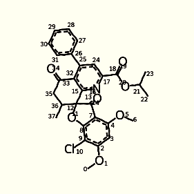 COc1cc(OC)c2c(c1Cl)OC1(C2=O)c2nc(C(=O)OC(C)C)cc(-c3ccccc3)c2C(=O)CC1C